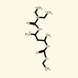 CCOC(=O)OC(C)CC(C)OC(=O)N(CC)CC